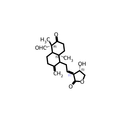 C=C1CCC2[C@@](C)(CCC(=O)[C@@]2(C)C=O)C1C/C=C1/C(=O)OC[C@H]1O